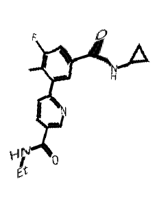 CCNC(=O)c1ccc(-c2cc(C(=O)NC3CC3)cc(F)c2C)nc1